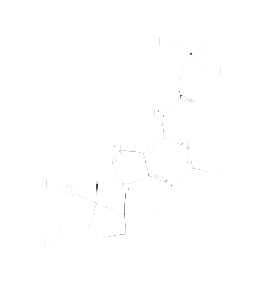 C#C[C@@]1(O)[C@@H](CO)OC[C@]1(O)n1cnc2c(NC(=O)OC(C)(C)C)nc(Cl)nc21